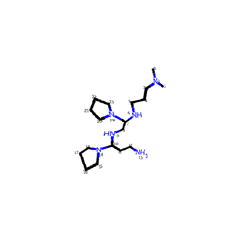 CN(C)CCCNC(CNC(CCN)N1CCCC1)N1CCCC1